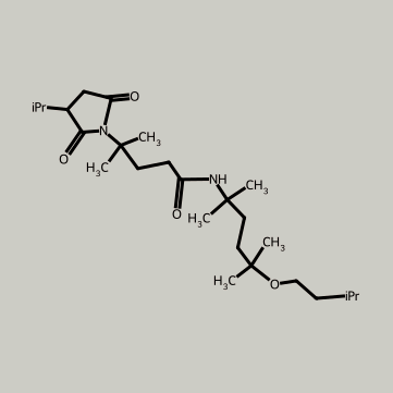 CC(C)CCOC(C)(C)CCC(C)(C)NC(=O)CCC(C)(C)N1C(=O)CC(C(C)C)C1=O